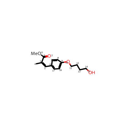 COC(=O)C(C)=Cc1ccc(OCCCCO)cc1